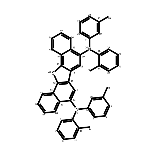 Cc1cccc(N(c2ccccc2C)c2cc3c4cc(N(c5cccc(C)c5)c5ccccc5C)c5ccccc5c4sc3c3ccccc23)c1